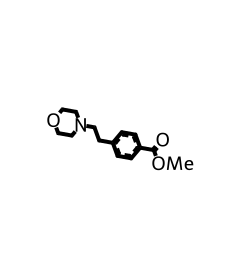 COC(=O)c1ccc(CCN2CCOCC2)cc1